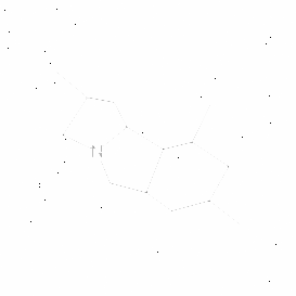 CC1CC(C)C2C(C1)CN1CC(C)CC21